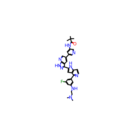 CN(C)CCNc1cc(F)cc(-c2nccc3[nH]c(-c4n[nH]c5ncc(-c6cncc(NC(=O)C(C)(C)C)c6)cc45)cc23)c1